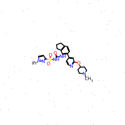 CC(C)n1ccc(S(=O)(=O)NC(=O)Nc2c(-c3ccnc(OC4CCN(C)CC4)c3)ccc3c2CCC3)n1